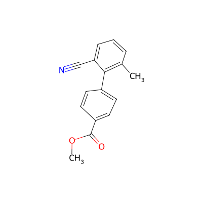 COC(=O)c1ccc(-c2c(C)cccc2C#N)cc1